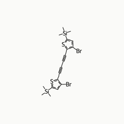 C[Si](C)(C)c1cc(Br)c(C#CC#Cc2sc([Si](C)(C)C)cc2Br)s1